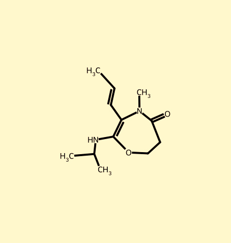 C/C=C/C1=C(NC(C)C)OCCC(=O)N1C